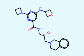 O=C(NC[C@H](O)CN1CCc2ccccc2C1)c1cc(NC2COC2)nc(N2CCC2)n1